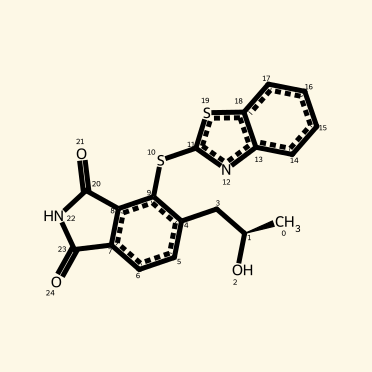 C[C@@H](O)Cc1ccc2c(c1Sc1nc3ccccc3s1)C(=O)NC2=O